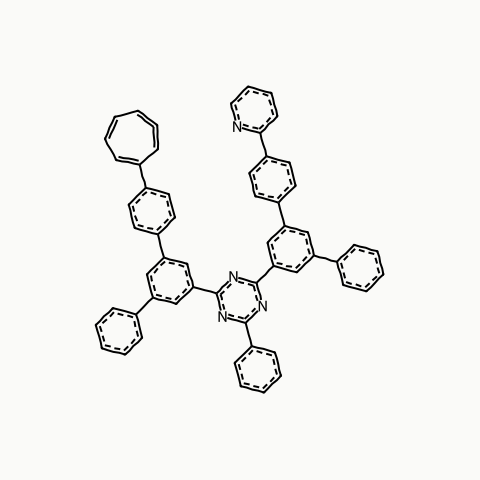 C1=CC=CC=C(c2ccc(-c3cc(-c4ccccc4)cc(-c4nc(-c5ccccc5)nc(-c5cc(-c6ccccc6)cc(-c6ccc(-c7ccccn7)cc6)c5)n4)c3)cc2)C=1